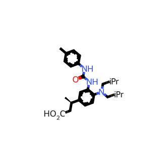 Cc1ccc(NC(=O)Nc2cc([C@H](C)CC(=O)O)ccc2N(CC(C)C)CC(C)C)cc1